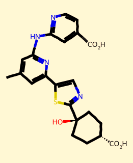 Cc1cc(Nc2cc(C(=O)O)ccn2)nc(-c2cnc([C@]3(O)CC[C@H](C(=O)O)CC3)s2)c1